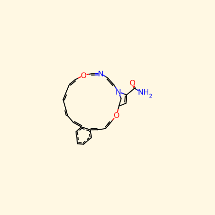 NC(=O)C1=CC2CN1/C=C\N=C/O\C=C/C=C\C=C/C=c1/cccc/c1=C/C=C\O2